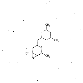 CC1CC(C)CC(CC2CC(C)C3OC3(C)C2)C1